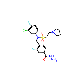 NNC(=O)c1ccc(CN(c2ccc(F)c(Cl)c2)S(=O)(=O)CCN2CCCC2)c(F)c1